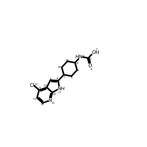 O=C(O)NC1CCC(c2cc3c(Cl)ccnc3[nH]2)CC1